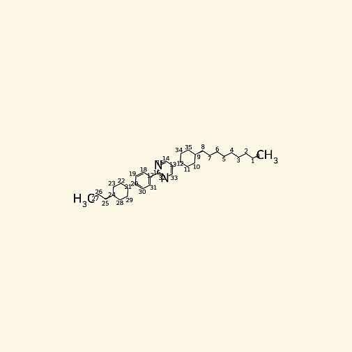 CCCCCCCCC[C@H]1CC[C@H](c2cnc(-c3ccc([C@H]4CC[C@H](CCC)CC4)cc3)nc2)CC1